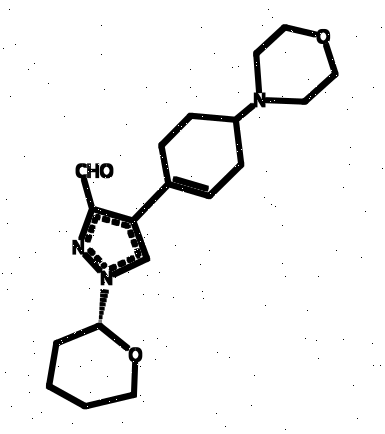 O=Cc1nn([C@H]2CCCCO2)cc1C1=CCC(N2CCOCC2)CC1